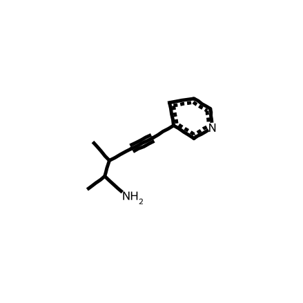 CC(N)C(C)C#Cc1cccnc1